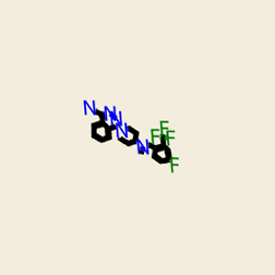 CN(Cc1ccc(F)cc1C(F)(F)F)C1CCN(c2nnc(C#N)c3ccccc23)CC1